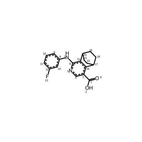 O=C(O)c1cnc(Nc2cccc(F)c2)c2c1C1CCC2CC1